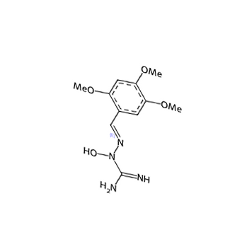 COc1cc(OC)c(OC)cc1/C=N/N(O)C(=N)N